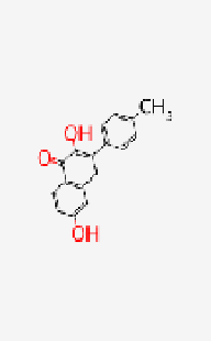 Cc1ccc(C2=C(O)C(=O)c3ccc(O)cc3C2)cc1